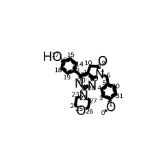 COc1ccc(CN2C(=O)Cc3c(-c4ccc(O)cc4)nc(N4CCOCC4)nc32)cc1